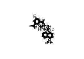 CC(C)c1cc(F)cc(C(C)C)c1NC(=O)N[SH](N)(=O)c1cccc2c(N(C)C)cccc12